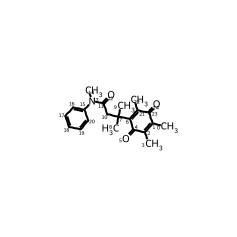 CC1=C(C)C(=O)C(C(C)(C)CC(=O)N(C)c2ccccc2)=C(C)C1=O